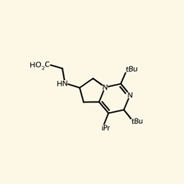 CC(C)C1=C2CC(NCC(=O)O)CN2C(C(C)(C)C)=NC1C(C)(C)C